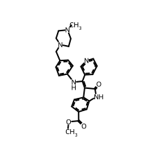 COC(=O)c1ccc2c(c1)NC(=O)C2=C(Nc1ccc(CN2CCN(C)CC2)cc1)c1cccnc1